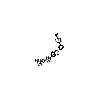 OC1(C(F)(F)F)CC(c2nc(C34CCC(CNc5cccc(-c6cnc(C7CC7)nc6)c5)(CC3)CC4)no2)C1